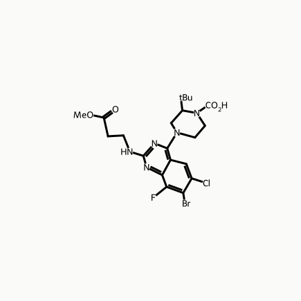 COC(=O)CCNc1nc(N2CCN(C(=O)O)C(C(C)(C)C)C2)c2cc(Cl)c(Br)c(F)c2n1